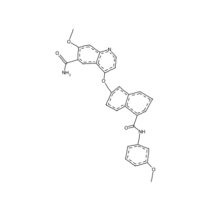 COc1cccc(NC(=O)c2cccc3cc(Oc4ccnc5cc(OC)c(C(N)=O)cc45)ccc23)c1